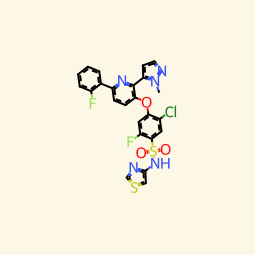 Cn1nccc1-c1nc(-c2ccccc2F)ccc1Oc1cc(F)c(S(=O)(=O)Nc2cscn2)cc1Cl